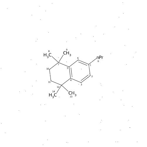 CCCc1ccc2c(c1)C(C)(C)CCC2(C)C